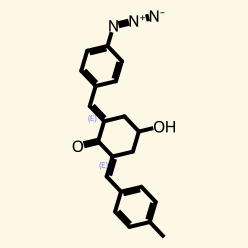 Cc1ccc(/C=C2\CC(O)C/C(=C\c3ccc(N=[N+]=[N-])cc3)C2=O)cc1